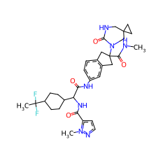 CNC(=O)C1(N2CC3(CC3)CNC2=O)Cc2ccc(NC(=O)C(NC(=O)c3ccnn3C)C3CCC(C(C)(F)F)CC3)cc2C1